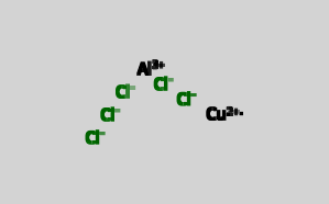 [Al+3].[Cl-].[Cl-].[Cl-].[Cl-].[Cl-].[Cu+2]